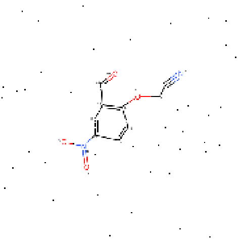 N#CCOc1ccc([N+](=O)[O-])cc1C=O